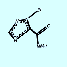 CCn1ncnc1C(=O)NC